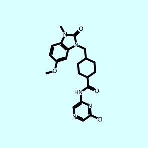 COc1ccc2c(c1)n(CC1CCC(C(=O)Nc3cncc(Cl)n3)CC1)c(=O)n2C